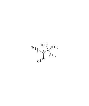 CC(C)(C)C(C#N)C=O